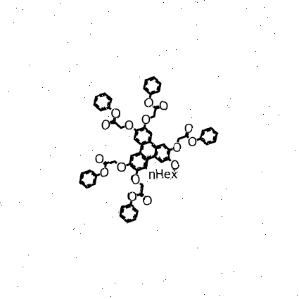 CCCCCCOc1cc2c(cc1OCC(=O)Oc1ccccc1)c1cc(OCC(=O)Oc3ccccc3)c(OCC(=O)Oc3ccccc3)cc1c1cc(OCC(=O)Oc3ccccc3)c(OCC(=O)Oc3ccccc3)cc21